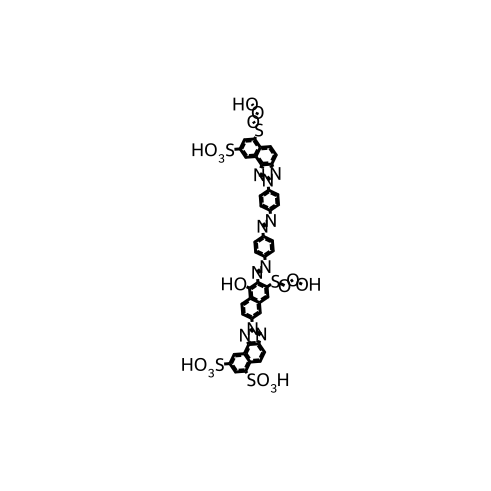 O=S(=O)(O)c1cc(SOOO)c2ccc3nn(-c4ccc(N=Nc5ccc(N=Nc6c(SOOO)cc7cc(-n8nc9ccc%10c(S(=O)(=O)O)cc(S(=O)(=O)O)cc%10c9n8)ccc7c6O)cc5)cc4)nc3c2c1